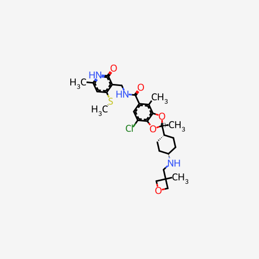 CSc1cc(C)[nH]c(=O)c1CNC(=O)c1cc(Cl)c2c(c1C)O[C@](C)([C@H]1CC[C@@H](NCC3(C)COC3)CC1)O2